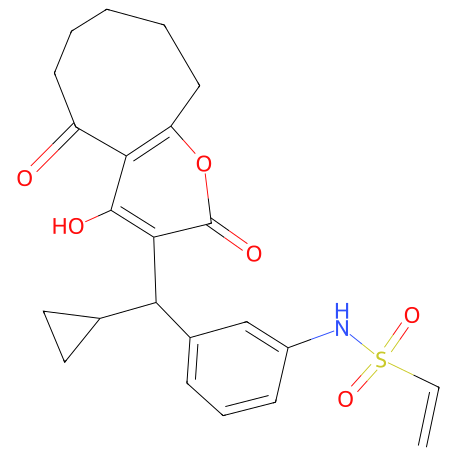 C=CS(=O)(=O)Nc1cccc(C(c2c(O)c3c(oc2=O)CCCCCC3=O)C2CC2)c1